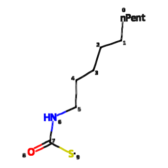 CCCCCCCCCCNC(=O)[S]